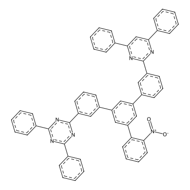 O=[N+]([O-])c1ccccc1-c1cc(-c2cccc(-c3nc(-c4ccccc4)cc(-c4ccccc4)n3)c2)cc(-c2cccc(-c3nc(-c4ccccc4)nc(-c4ccccc4)n3)c2)c1